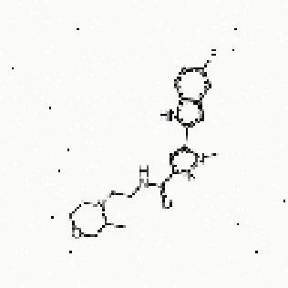 CC1COCCN1CCNC(=O)c1cc(-c2cc3cc(F)ccc3[nH]2)n(C)n1